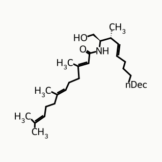 CCCCCCCCCCCCC/C=C/[C@@H](C)[C@H](CO)NC(=O)/C=C(\C)CC/C=C(\C)CCC=C(C)C